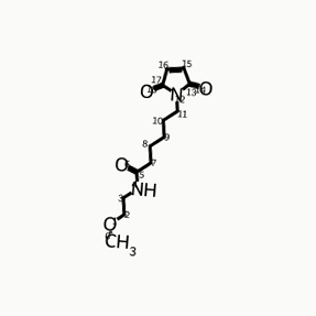 COCCNC(=O)CCCCCN1C(=O)C=CC1=O